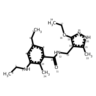 CCNc1cc(CC)cc(C(=O)NCc2c(OCC)n[nH]c2C)c1C